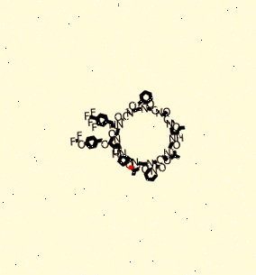 CC[C@H](C)[C@@H]1NC(=O)[C@H](CC(C)C)N(C)C(=O)C[C@@H](C(=O)N2CCCCC2)N(C)C(=O)[C@H](CC(C)C)N(C)C(=O)C2(CCCC2)NC(=O)[C@@H]2C[C@@H](OCc3ccc(OC(F)F)cc3)CN2C(=O)[C@H](CCc2ccc(C(F)(F)F)c(F)c2)NC(=O)CN(C)C(=O)[C@H](CC2CCCCC2)N(C)C(=O)CN(C)C(=O)CN(C)C1=O